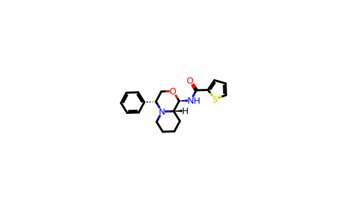 O=C(N[C@@H]1OC[C@@H](c2ccccc2)N2CCCC[C@@H]12)c1cccs1